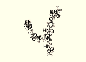 CC(C)(C)OC(=O)NCCCn1cc(NC(=O)c2ccc(OCC(ON)C(=O)OC(C)(C)C)cc2)c[n+]1CC1CN(C(=O)OC(C)(C)C)C1.O=S(=O)([O-])C(F)(F)F